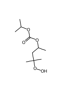 CC(C)OC(=O)OC(C)CC(C)(C)OO